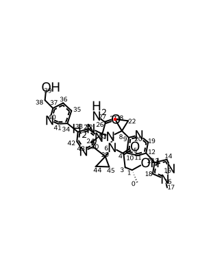 C[C@@H](O)CC(=O)N(N(C1(c2ccc(-c3cnn(C)c3)cn2)CC1)[C@](C)(N)C(N)=O)C1(c2ncc(-c3ccc(CO)nc3)cn2)CC1